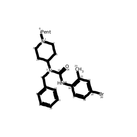 CCCC(C)N1CCC(N(Cc2ccccc2)C(=O)Nc2ccc(Br)cc2C)CC1